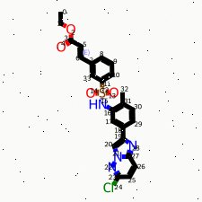 CCOC(=O)/C=C/c1cccc(S(=O)(=O)Nc2cc(-c3cn4nc(Cl)ccc4n3)ccc2C)c1